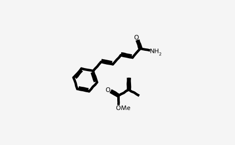 C=C(C)C(=O)OC.NC(=O)C=CC=Cc1ccccc1